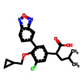 CC(C)CC(C(=O)O)c1cc(Cl)c(OCC2CC2)c(-c2ccc3nonc3c2)c1